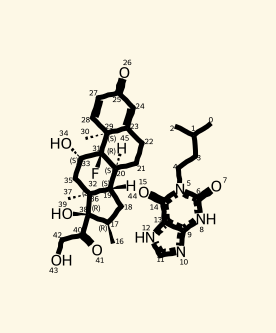 CC(C)CCn1c(=O)[nH]c2nc[nH]c2c1=O.C[C@@H]1C[C@H]2[C@@H]3CCC4=CC(=O)C=C[C@]4(C)[C@@]3(F)[C@@H](O)C[C@]2(C)[C@@]1(O)C(=O)CO